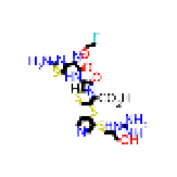 N=C(N)NC(CO)CSc1cnccc1SC1=C(C(=O)O)N2C(=O)[C@@H](NC(=O)/C(=N\OCCF)c3csc(N)n3)[C@@H]2SC1